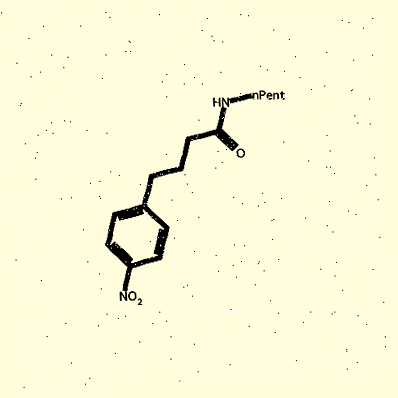 CCCCCNC(=O)CCCc1ccc([N+](=O)[O-])cc1